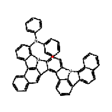 c1ccc(N(c2ccccc2)c2cccc3c4c5ccccc5cc5c6c7c8cccc9c%10ccc%11ccccc%11c%10n(c7cnc6n(c23)c54)c98)cc1